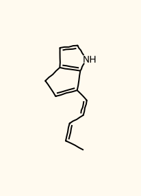 C/C=C\C=C/C1=CCc2cc[nH]c21